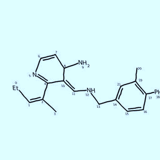 CC/C=C(/C)C1=NC=CC(N)/C1=C\NCc1ccc(P)c(C)c1